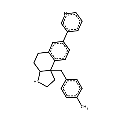 Cc1ccc(CC23CCNC2CCc2cc(-c4cccnc4)ccc23)cc1